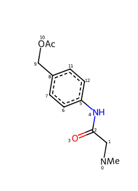 CNCC(=O)Nc1ccc(COC(C)=O)cc1